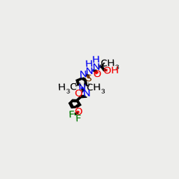 C[C@@H]1Cc2nc(NC(=O)N[C@@H](C)CO)sc2[C@H](C)N1c1ncc(-c2cccc(OC(F)F)c2)o1